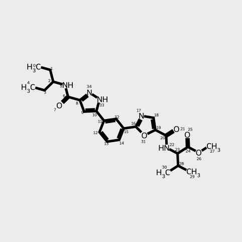 CCC(CC)NC(=O)c1cc(-c2cccc(-c3ncc(C(=O)NC(C(=O)OC)C(C)C)o3)c2)[nH]n1